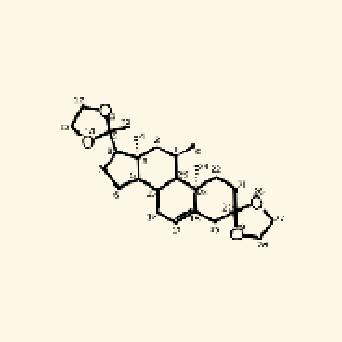 C[C@@H]1C[C@@]2(C)C(CCC2C2(C)OCCO2)C2CC=C3CC4(CC[C@]3(C)C21)OCCO4